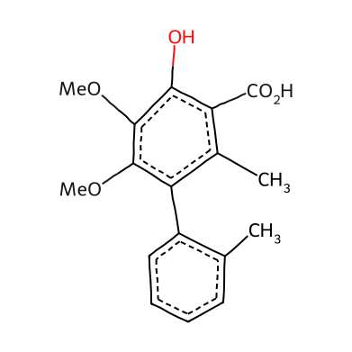 COc1c(O)c(C(=O)O)c(C)c(-c2ccccc2C)c1OC